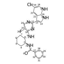 O=C(N[C@H]1CCCC[C@@H]1Nc1nc(C2=CNC3NC=C(Cl)C=C23)ncc1F)c1ccccc1